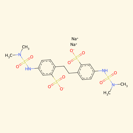 CN(C)S(=O)(=O)Nc1ccc(CCc2ccc(NS(=O)(=O)N(C)C)cc2S(=O)(=O)[O-])c(S(=O)(=O)[O-])c1.[Na+].[Na+]